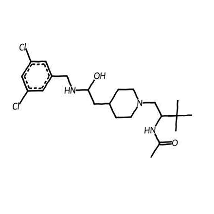 CC(=O)NC(CN1CCC(CC(O)NCc2cc(Cl)cc(Cl)c2)CC1)C(C)(C)C